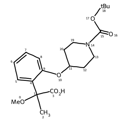 COC(C)(C(=O)O)c1ccccc1OC1CCN(C(=O)OC(C)(C)C)CC1